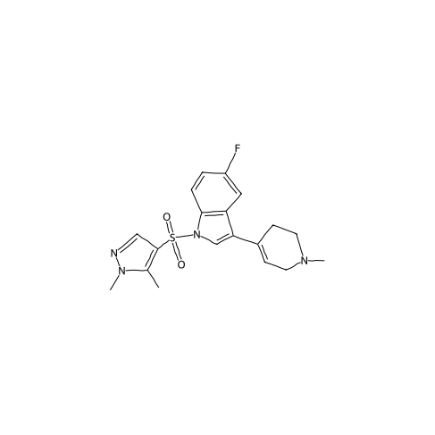 Cc1c(S(=O)(=O)n2cc(C3=CCN(C)CC3)c3cc(F)ccc32)cnn1C